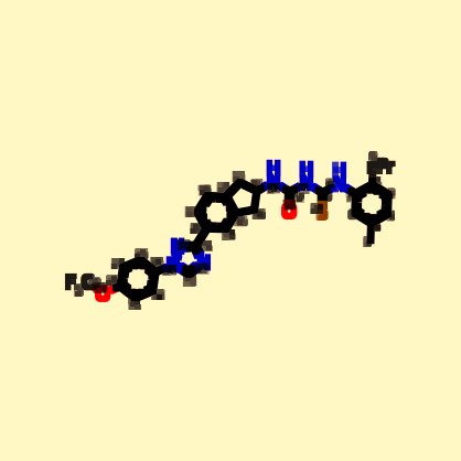 CCCc1ccc(C)cc1NC(=S)NC(=O)NC1Cc2ccc(-c3ncn(-c4ccc(OC(F)(F)F)cc4)n3)cc2C1